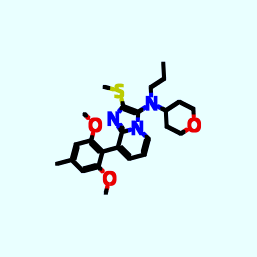 CCCN(c1c(SC)nc2c(-c3c(OC)cc(C)cc3OC)cccn12)C1CCOCC1